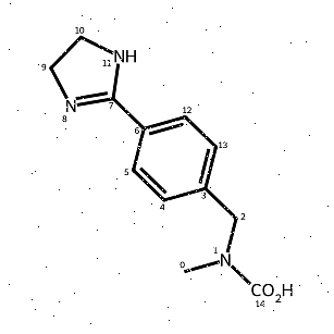 CN(Cc1ccc(C2=NCCN2)cc1)C(=O)O